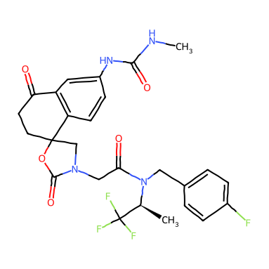 CNC(=O)Nc1ccc2c(c1)C(=O)CCC21CN(CC(=O)N(Cc2ccc(F)cc2)[C@@H](C)C(F)(F)F)C(=O)O1